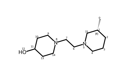 C[C@@H]1CCCN(CCN2CCC(O)CC2)C1